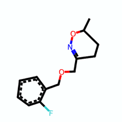 CC1CCC(COCc2ccccc2F)=NO1